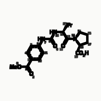 COC(=O)c1ccc(NC(=O)N[C@H](C(=O)N2CCC[C@H]2C(=O)O)C(C)C)cc1